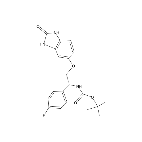 CC(C)(C)OC(=O)N[C@@H](COc1ccc2[nH]c(=O)[nH]c2c1)c1ccc(F)cc1